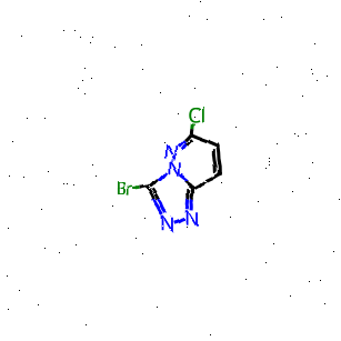 Clc1ccc2nnc(Br)n2n1